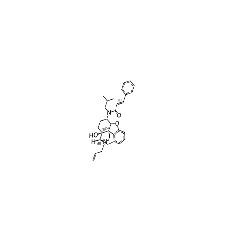 C=CCN1CC[C@]23c4c5cccc4OC2C(N(CC(C)C)C(=O)/C=C/c2ccccc2)CC[C@@]3(O)[C@H]1C5